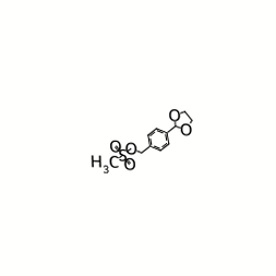 CS(=O)(=O)OCc1ccc(C2OCCO2)cc1